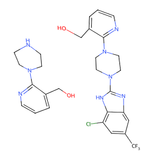 OCc1cccnc1N1CCN(c2nc3cc(C(F)(F)F)cc(Cl)c3[nH]2)CC1.OCc1cccnc1N1CCNCC1